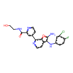 Nc1oc2c(-c3ccnc(C(=O)NCCO)c3)nccc2c1Nc1ccc(F)c(Cl)c1